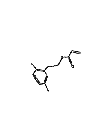 C=CC(=O)OCCc1cc(C)ccc1C